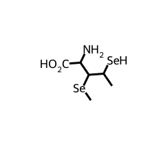 C[Se]C(C(C)[SeH])C(N)C(=O)O